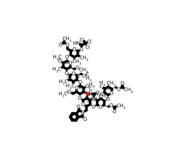 COCC1O[C@@H](O[C@H]2C(C)C(C)[C@@H](O[C@H]3C(C)C(OC)[C@H](O[C@@H]4C(COC(C)=O)OC(OC(=N)C(Cl)(Cl)Cl)C(C)[C@H]4C)O[C@H]3COC)O[C@H]2COC)C(OC)[C@@H](C)[C@@H]1O[C@@H]1OC(CN2C(=O)c3ccccc3C2=O)[C@@H](O[C@@H]2O[C@@H](COC(C)=O)[C@@H](O[C@H]3O[C@@H](COC(C)=O)[C@@H](C)C(C)C3C)C(C)C2OC(C)=O)[C@H](C)C1C